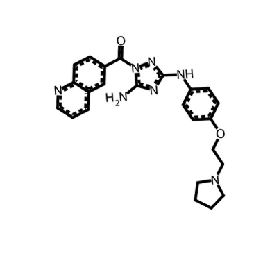 Nc1nc(Nc2ccc(OCCN3CCCC3)cc2)nn1C(=O)c1ccc2ncccc2c1